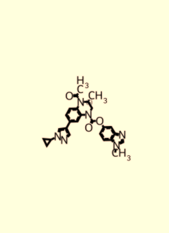 CC(=O)N1c2ccc(-c3cnn(C4CC4)c3)cc2N(C(=O)Oc2ccc3c(c2)ncn3C)C[C@@H]1C